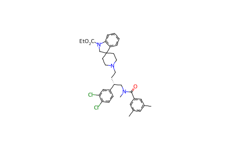 CCOC(=O)N1CC2(CCN(CC[C@H](CN(C)C(=O)c3cc(C)cc(C)c3)c3ccc(Cl)c(Cl)c3)CC2)c2ccccc21